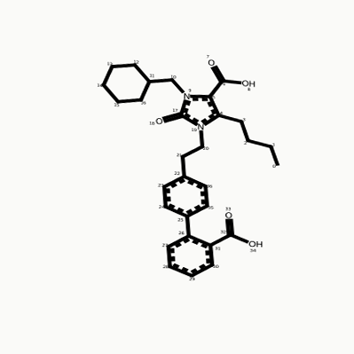 CCCCc1c(C(=O)O)n(CC2CCCCC2)c(=O)n1CCc1ccc(-c2ccccc2C(=O)O)cc1